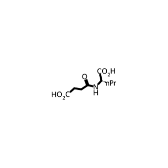 CCC[C@H](NC(=O)CCC(=O)O)C(=O)O